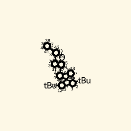 CC(C)(C)c1ccc2c(c1)C1(c3cc(C(C)(C)C)ccc3-2)c2ccccc2-c2c(-c3ccc4c5c(cccc35)-c3cc(-c5ccccc5)ccc3O4)cccc21